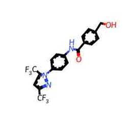 O=C(Nc1ccc(-n2nc(C(F)(F)F)cc2C(F)(F)F)cc1)c1ccc(CO)cc1